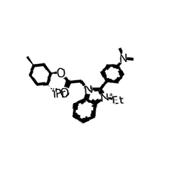 CC[n+]1c(-c2ccc(N(C)C)cc2)n(CC(=O)O[C@@H]2C[C@H](C)CC[C@H]2C(C)C)c2ccccc21